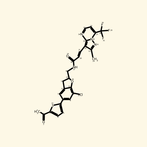 CC(=O)c1ccc(-c2cc(Cl)c3c(c2)CC(CNC(=O)/C=C/c2c(C)nn4c(C(F)(F)F)ccnc24)O3)s1